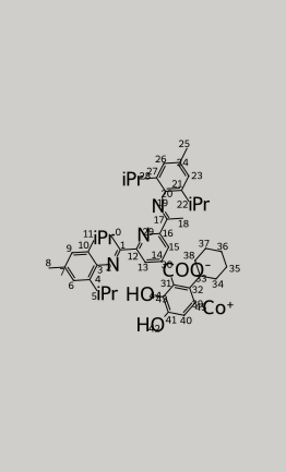 CC(=Nc1c(C(C)C)cc(C)cc1C(C)C)c1cccc(C(C)=Nc2c(C(C)C)cc(C)cc2C(C)C)n1.O=C([O-])c1c(C2CCCCC2)ccc(O)c1O.[Co+]